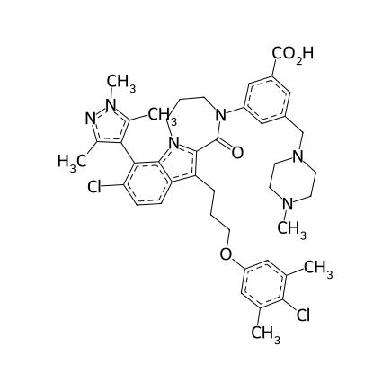 Cc1cc(OCCCc2c3n(c4c(-c5c(C)nn(C)c5C)c(Cl)ccc24)CCCN(c2cc(CN4CCN(C)CC4)cc(C(=O)O)c2)C3=O)cc(C)c1Cl